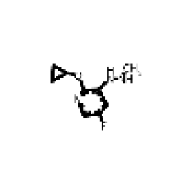 CNNc1cc(F)cnc1OC1CC1